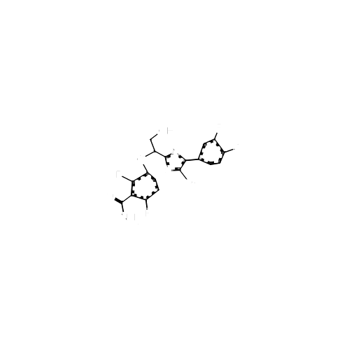 NC(=O)c1c(F)ccc(OC(CO)c2nc(-c3ccc(Cl)c(F)c3)c(Br)o2)c1F